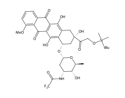 COc1cccc2c1C(=O)c1c(O)c3c(c(O)c1C2=O)C[C@@](O)(C(=O)CO[Si](C)(C)C(C)(C)C)C[C@@H]3O[C@H]1C[C@@H](NC(=O)C(F)(F)F)[C@@H](O)[C@H](C)O1